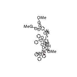 COCCOCOc1ccc(-c2nnc(SCC3=C(C(=O)OC(c4ccccc4)c4ccccc4)N4C(=O)[C@@H](NC(=O)C(=NOC)c5csc(NC(c6ccccc6)(c6ccccc6)c6ccccc6)n5)[C@@H]4SC3)o2)cc1OCOCCOC